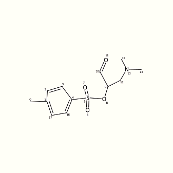 Cc1ccc(S(=O)(=O)OC([C]=O)CN(C)C)cc1